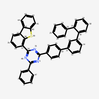 c1ccc(-c2nc(-c3ccc(-c4cccc(-c5ccccc5-c5ccccc5)c4)cc3)nc(-c3cccc4c3sc3ccccc34)n2)cc1